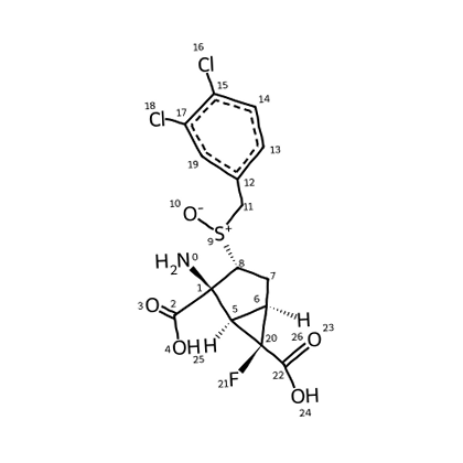 N[C@]1(C(=O)O)[C@H]2[C@@H](C[C@H]1[S+]([O-])Cc1ccc(Cl)c(Cl)c1)[C@]2(F)C(=O)O